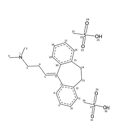 CN(C)CCC=C1c2ccccc2CCc2ccccc21.CS(=O)(=O)O.CS(=O)(=O)O